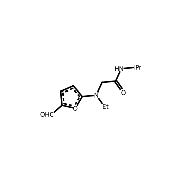 CCN(CC(=O)NC(C)C)c1ccc(C=O)o1